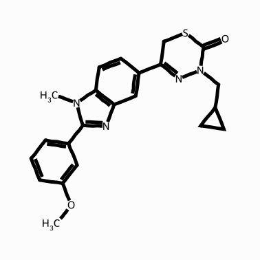 COc1cccc(-c2nc3cc(C4=NN(CC5CC5)C(=O)SC4)ccc3n2C)c1